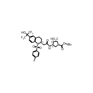 CC(C)(C)OC(=O)N1C[C@@H](NC(=O)C[C@@H]2CCc3cc(C(O)(C(F)(F)F)C(F)(F)F)ccc3N2S(=O)(=O)c2ccc(F)cc2)[C@H](C(=O)O)C1